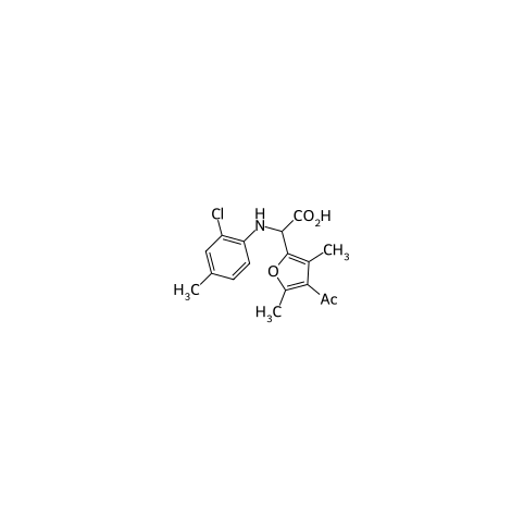 CC(=O)c1c(C)oc(C(Nc2ccc(C)cc2Cl)C(=O)O)c1C